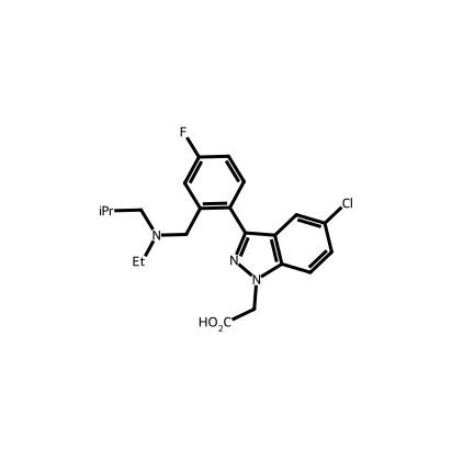 CCN(Cc1cc(F)ccc1-c1nn(CC(=O)O)c2ccc(Cl)cc12)CC(C)C